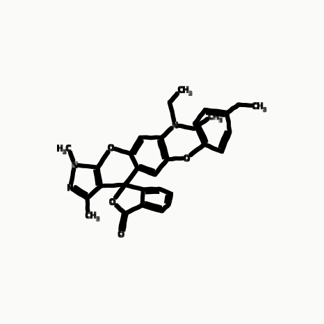 CCc1ccc(Oc2cc3c(cc2N(CC)CC)Oc2c(c(C)nn2C)C32OC(=O)c3ccccc32)cc1